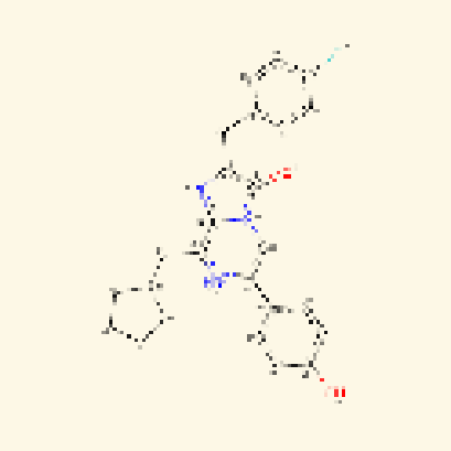 O=c1c(Cc2ccc(F)cc2)nc2c(CC3CCCC3)[nH]c(-c3ccc(O)cc3)cn1-2